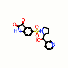 O=C1Nc2ccc(S(=O)(=O)N3CCCC3C(O)c3cccnc3)cc2C1=O